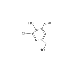 C=Cc1cc(CO)nc(Cl)c1O